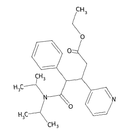 CCOC(=O)CC(c1cccnc1)C(C(=O)N(C(C)C)C(C)C)c1ccccc1